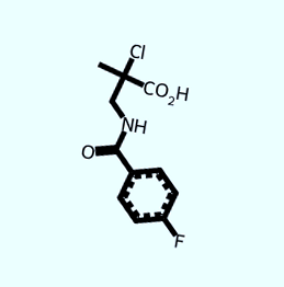 CC(Cl)(CNC(=O)c1ccc(F)cc1)C(=O)O